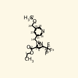 CCOC(=O)c1cc(C(F)(F)F)nn1Cc1cncc(COC)c1